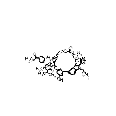 C=CC(=O)N1CC[C@H](C(=O)N(C)C(C(=O)N[C@H]2Cc3cc(O)cc(c3)-c3ccc4c(c3)c(c(-c3cncs3)n4CC)CC(C)(C)COC(=O)CCCCN(N)C2=O)C(C)C)C1